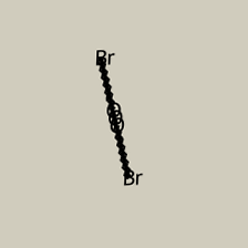 BrCCCCCCCCCC=CCCOCOCOCCC=CCCCCCCCCCBr